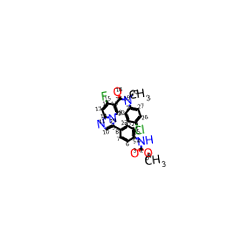 COC(=O)Nc1ccc(-c2cnc3cc(F)c(C(=O)N(C)c4ccc(Cl)cc4)cn23)cc1